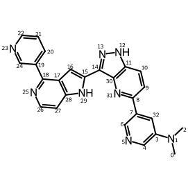 CN(C)c1cncc(-c2ccc3[nH]nc(-c4cc5c(-c6cccnc6)nccc5[nH]4)c3n2)c1